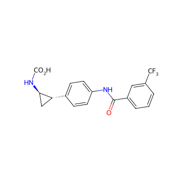 O=C(O)N[C@@H]1C[C@H]1c1ccc(NC(=O)c2cccc(C(F)(F)F)c2)cc1